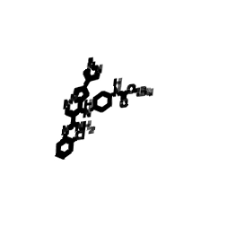 Cn1cc(-c2cc3c(N[C@H]4CC[C@H](NC(=O)OC(C)(C)C)CC4)c(/C(N)=N/c4ccccc4Cl)cnn3c2)cn1